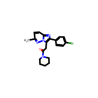 Cc1ccc2nc(-c3ccc(Br)cc3)c(CC(=O)N3CCCCC3)n2n1